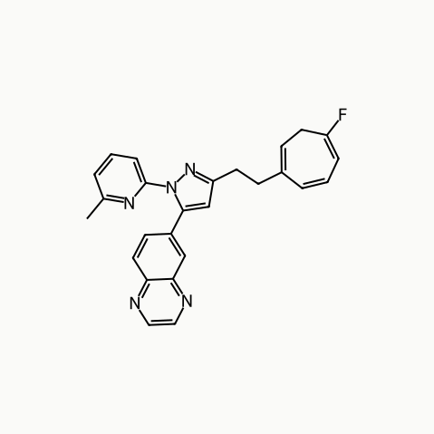 Cc1cccc(-n2nc(CCC3=CCC(F)=CC=C3)cc2-c2ccc3nccnc3c2)n1